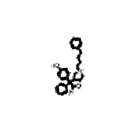 C[N@+]1(CCCCc2ccccc2)CCC(C(C(N)=O)(c2ccccc2)c2ccc(O)cc2)C1